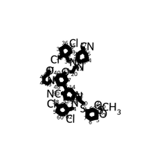 CS(=O)(=O)c1cccc(SCc2nc3cc(-c4cc(OCc5nc6ccc(C#N)cc6n5Cc5cc(Cl)ccc5Cl)cc(N5CCCC5=O)c4)c(C#N)cc3n2Cc2cc(Cl)ccc2Cl)c1